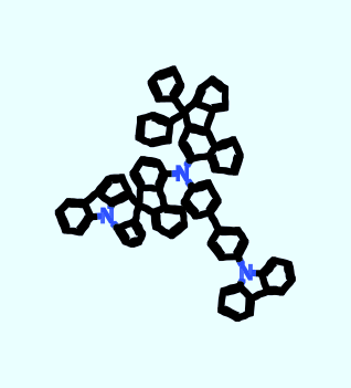 c1ccc(C2(c3ccccc3)c3ccccc3-c3c2cc(N(c2ccc(-c4ccc(-n5c6ccccc6c6ccccc65)cc4)cc2)c2cccc4c2-c2ccccc2C42c4ccccc4-n4c5ccccc5c5cccc2c54)c2ccccc32)cc1